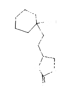 O=C1OCC(CCC2(S(=O)(=O)O)CCCCC2)O1